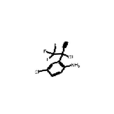 C#CC(O)(c1cc(Cl)ccc1N)C(F)(F)F